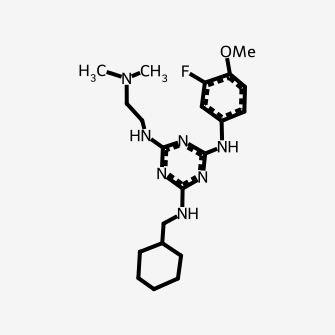 COc1ccc(Nc2nc(NCCN(C)C)nc(NCC3CCCCC3)n2)cc1F